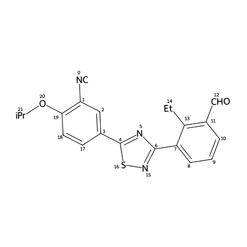 [C-]#[N+]c1cc(-c2nc(-c3cccc(C=O)c3CC)ns2)ccc1OC(C)C